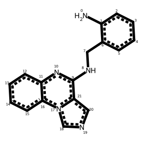 Nc1ccccc1CNc1nc2ccccc2n2cncc12